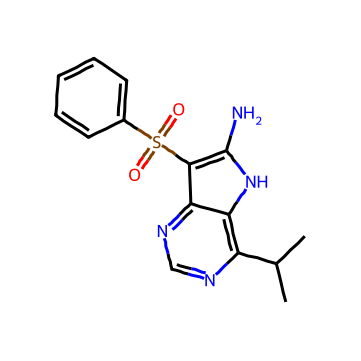 CC(C)c1ncnc2c(S(=O)(=O)c3ccccc3)c(N)[nH]c12